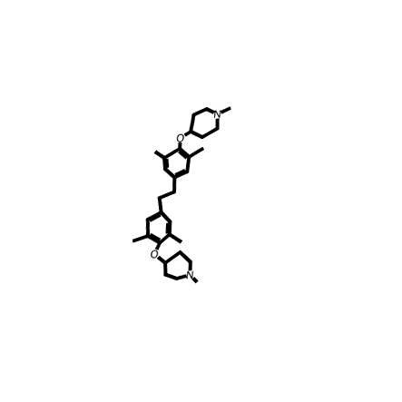 Cc1cc(CCc2cc(C)c(OC3CCN(C)CC3)c(C)c2)cc(C)c1OC1CCN(C)CC1